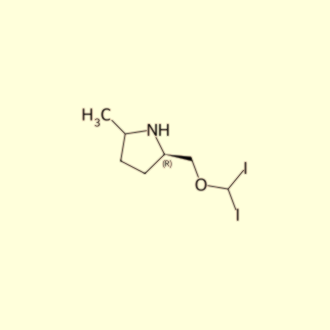 CC1CC[C@H](COC(I)I)N1